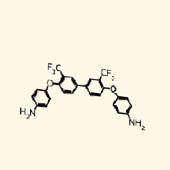 Nc1ccc(Oc2ccc(-c3ccc(Oc4ccc(N)cc4)c(C(F)(F)F)c3)cc2C(F)(F)F)cc1